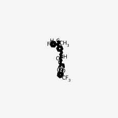 CN(C)C(c1ccc(F)cc1)C1CCC(CCNC(=O)COC2CCN(S(=O)(=O)c3cccc(C(F)(F)F)c3)C2)CC1